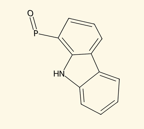 O=Pc1cccc2c1[nH]c1ccccc12